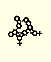 CC(C)(C)c1ccc2c(c1)c1cc3ccccc3c3c4cc5c(nc4n2c13)c1cc(C(C)(C)C)cc2c3c4ccccc4cc(-c4ccc6c(c4)c4ccccc4n6-c4ccccc4)c3n5c12